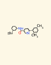 Cc1ccc(C)c(-c2ccc(C(=O)Nc3cccc(C(C)(C)C)c3)cn2)c1